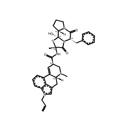 C=CCn1cc2c3c(cccc31)C1=C[C@@H](C(=O)N[C@]3(C)O[C@@]4(O)[C@@H]5CCCN5C(=O)[C@H](Cc5ccccc5)N4C3=O)CN(C)[C@@H]1C2